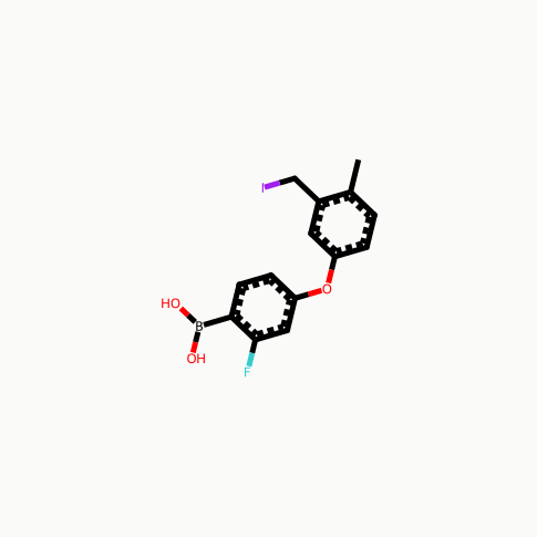 Cc1ccc(Oc2ccc(B(O)O)c(F)c2)cc1CI